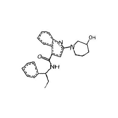 CCC(NC(=O)c1cc(N2CCCC(O)C2)nc2ccccc12)c1ccccc1